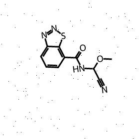 COC(C#N)NC(=O)c1cccc2nnsc12